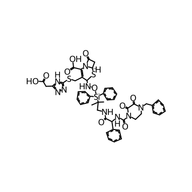 CC(C)(CNC(=O)C(NC(=O)N1CCN(Cc2ccccc2)C(=O)C1=O)c1ccccc1)[Si](ONC1S[C@@H]2CC(=O)N2C(C(=O)O)=C1CSc1nnc(CC(=O)O)[nH]1)(c1ccccc1)c1ccccc1